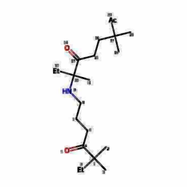 CCC(C)(C)C(=O)CCCNC(C)(CC)C(=O)CCC(C)(C)C(C)=O